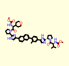 COC(=O)N[C@H](C(=O)N1CCC[C@H]1c1ncc(-c2ccc(-c3ccc4cc(-c5c[nH]c(C6CCCN6C(=O)[C@@H](NC(=O)OC)C6CCOCC6)n5)ccc4c3)c(C)c2)[nH]1)C(C)C